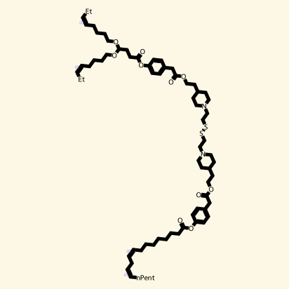 CC/C=C\CCCCOC(CCC(=O)Oc1ccc(CC(=O)OCCC2CCN(CCSSCCN3CCC(CCOC(=O)Cc4ccc(OC(=O)CCCCCCC/C=C\C/C=C\CCCCC)cc4)CC3)CC2)cc1)OCCCC/C=C\CC